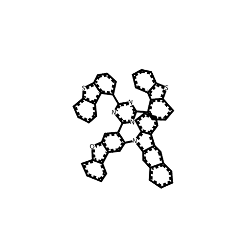 c1ccc2cc3c(cc2c1)c1ccccc1n3-c1cc2c(cc1-c1nc(-c3cccc4sc5ccccc5c34)nc(-c3cccc4sc5ccccc5c34)n1)oc1ccccc12